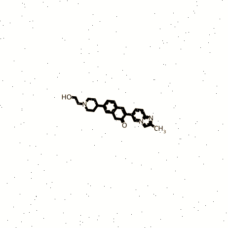 Cc1cn2cc(C3=Cc4ccc(C5CCN(CCO)CC5)cc4CC3=O)ccc2n1